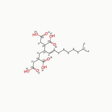 CC(C)CCCCCC=CC(CC(CC(=O)O)C(=O)O)C(CC(=O)O)C(=O)O